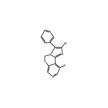 Fc1cncc2c1-c1nc(Br)c(-c3ccccc3)n1CO2